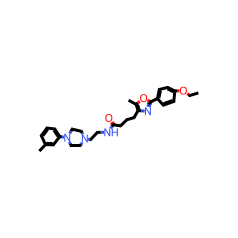 CCOc1ccc(-c2nc(CCCC(=O)NCCN3CCN(c4cccc(C)c4)CC3)c(C)o2)cc1